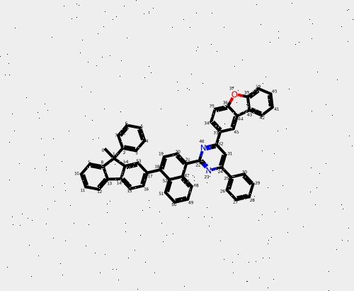 CC1(c2ccccc2)c2ccccc2-c2ccc(-c3ccc(-c4nc(-c5ccccc5)cc(-c5ccc6oc7ccccc7c6c5)n4)c4ccccc34)cc21